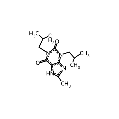 Cc1nc2c([nH]1)c(=O)n(CC(C)C)c(=O)n2CC(C)C